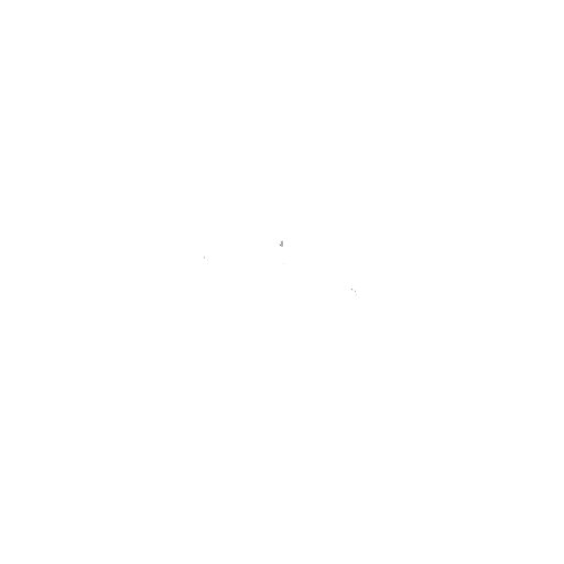 CC1(Nc2cc3c(cc2-c2ccccc2)c2ccccc2n3-c2ccccc2)C=CC(c2cc(-c3ccccc3)c3ccccc3n2)=CC1